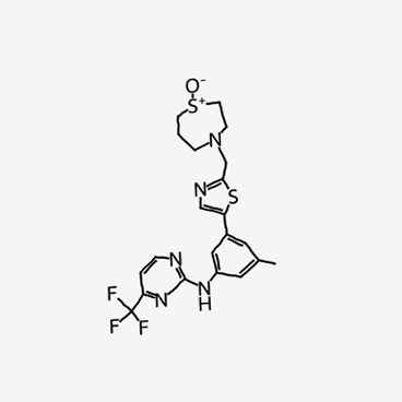 Cc1cc(Nc2nccc(C(F)(F)F)n2)cc(-c2cnc(CN3CCC[S+]([O-])CC3)s2)c1